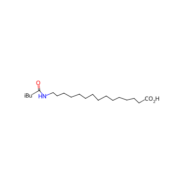 CCC(C)C(=O)NCCCCCCCCCCCCCCC(=O)O